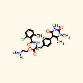 CCN(CC)CCOC(=O)[C@H](Cc1ccc(-c2c(C)n(C)c(=O)n(C)c2=O)cc1)NC(=O)c1c(C)cccc1Cl